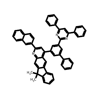 CC1(C)c2ccccc2-c2cc3c(-c4cc(-c5ccccc5)cc(-c5nc(-c6ccccc6)cc(-c6ccccc6)n5)c4)cc(-c4ccc5ccccc5c4)nc3cc21